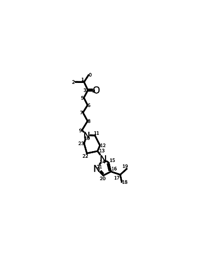 CC(C)C(=O)CCCCCN1CCC(n2cc(C(C)C)cn2)CC1